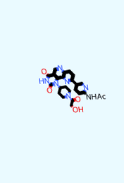 CC(=O)Nc1ccc(-c2ccc3ncc4c(=O)[nH]c(=O)n(C5CCN(C(=O)CO)CC5)c4c3n2)cn1